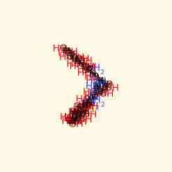 CC(O)CO.CC(O)CO.CN(C)C.CN(C)C.CN[C@@H](Cc1c[nH]cn1)C(=O)O.CN[C@@H](Cc1c[nH]cn1)C(=O)O.C[C@@H](O)[C@H](N)C(=O)O.C[C@@H](O)[C@H](N)C(=O)O.C[C@H](N)C(=O)O.O=C[C@H](O)[C@@H](O)[C@H](O)[C@H](O)CO.O=C[C@H](O)[C@@H](O)[C@H](O)[C@H](O)CO.O=C[C@H](O)[C@@H](O)[C@H](O)[C@H](O)CO.OCC(O)CO.OCC(O)CO.OCCO.OCCO